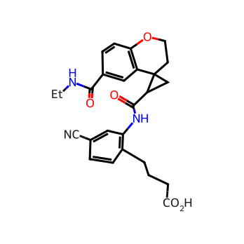 CCNC(=O)c1ccc2c(c1)C1(CCO2)CC1C(=O)Nc1cc(C#N)ccc1CCCC(=O)O